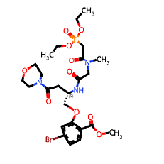 CCOP(=O)(CC(=O)N(C)CC(=O)N[C@H](COc1cc(Br)ccc1C(=O)OC)CC(=O)N1CCOCC1)OCC